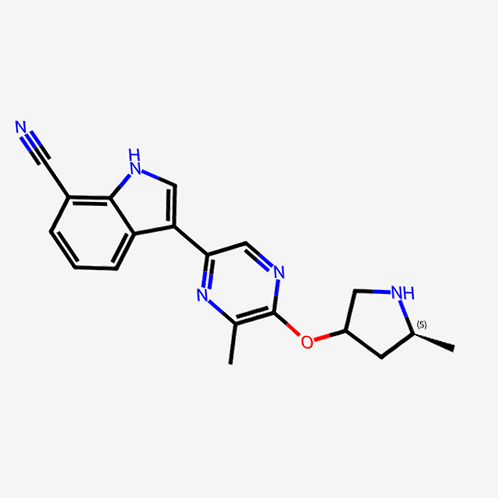 Cc1nc(-c2c[nH]c3c(C#N)cccc23)cnc1OC1CN[C@@H](C)C1